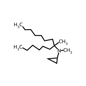 CCCCCCCC(C)(CCCCCC)N(C)C1CC1